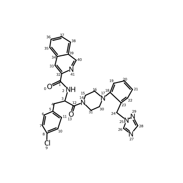 O=C(NC(Cc1ccc(Cl)cc1)C(=O)N1CCN(c2ccccc2Cn2cncn2)CC1)c1cc2ccccc2cn1